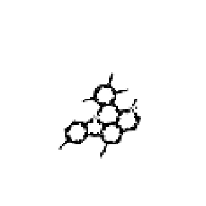 Cc1ccc2c(c1)c1c(F)cc3cc[n+](C)c4c5c(C)c(C)cc(C)c5n2c1c34